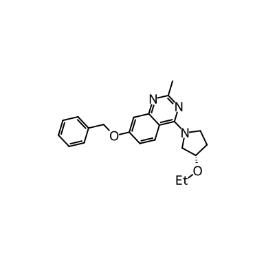 CCO[C@H]1CCN(c2nc(C)nc3cc(OCc4ccccc4)ccc23)C1